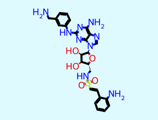 NCc1cccc(Nc2nc(N)c3ncn([C@@H]4O[C@H](CNS(=O)(=O)/C=C/c5ccccc5N)[C@@H](O)[C@H]4O)c3n2)c1